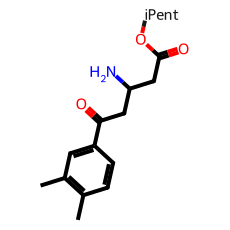 CCCC(C)OC(=O)CC(N)CC(=O)c1ccc(C)c(C)c1